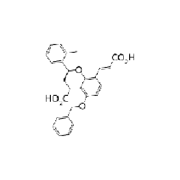 Cc1ccccc1[C@H](CCC(=O)O)Oc1cc(OCc2ccccc2)ccc1/C=C/C(=O)O